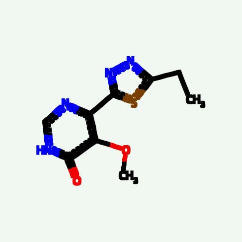 CCc1nnc(-c2nc[nH]c(=O)c2OC)s1